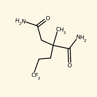 CC(CCC(F)(F)F)(CC(N)=O)C(N)=O